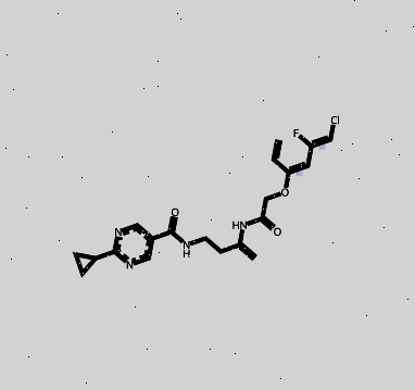 C=C/C(=C\C(F)=C\Cl)OCC(=O)NC(=C)CCNC(=O)c1cnc(C2CC2)nc1